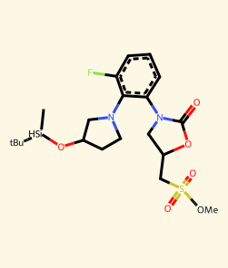 COS(=O)(=O)CC1CN(c2cccc(F)c2N2CCC(O[SiH](C)C(C)(C)C)C2)C(=O)O1